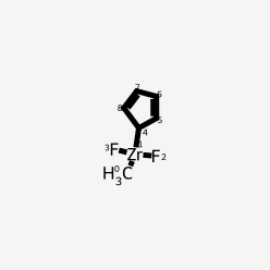 [CH3][Zr]([F])([F])[CH]1C=CC=C1